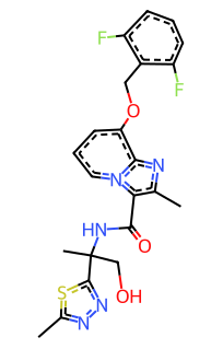 Cc1nnc(C(C)(CO)NC(=O)c2c(C)nc3c(OCc4c(F)cccc4F)cccn23)s1